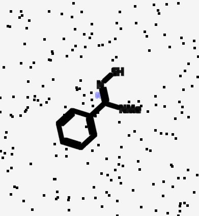 CN/C(=N\S)c1ccccc1